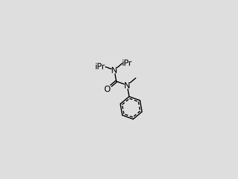 CC(C)N(C(=O)N(C)c1ccccc1)C(C)C